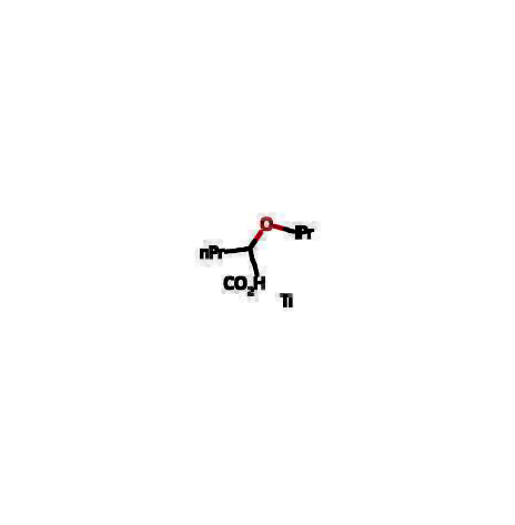 CCCC(OC(C)C)C(=O)O.[Ti]